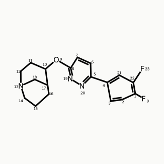 Fc1ccc(-c2ccc(OC3CCN4CCCC3C4)nn2)cc1F